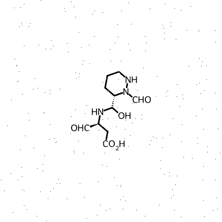 O=C[C@H](CC(=O)O)NC(O)[C@@H]1CCCNN1C=O